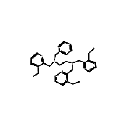 CCc1cccnc1CN(CCN(Cc1ncccc1CC)Cc1ncccc1CC)Cc1ccccc1